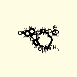 C[C@@H]1CC/C=C/[C@H](O[C@@H]2CCOC2=O)[C@@H]2CC[C@H]2CN2C[C@@]3(CCCc4cc(Cl)ccc43)COc3ccc(cc32)C(=O)NS1(=O)=O